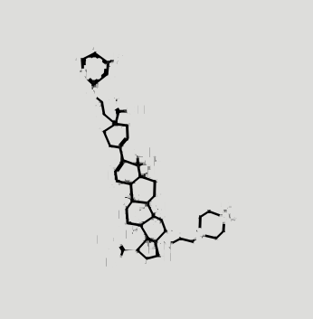 C=C(C)[C@@H]1CC[C@]2(NCCN3CCS(=O)(=O)CC3)CC[C@]3(C)[C@H](CC[C@@H]4[C@@]5(C)CC=C(C6=CCC(CCOc7cc(Br)ccn7)(C(=O)O)CC6)C(C)(C)[C@@H]5CC[C@]43C)[C@@H]12